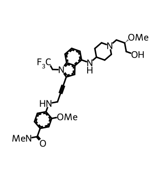 CNC(=O)c1ccc(NCC#Cc2cc3c(NC4CCN(C[C@@H](CO)OC)CC4)cccc3n2CC(F)(F)F)c(OC)c1